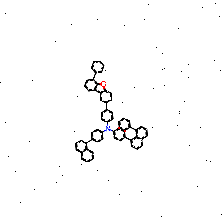 c1ccc(-c2cccc3c2oc2ccc(-c4ccc(N(c5ccc(-c6cccc7ccccc67)cc5)c5ccc(-c6cccc7cccc(-c8ccccc8)c67)cc5)cc4)cc23)cc1